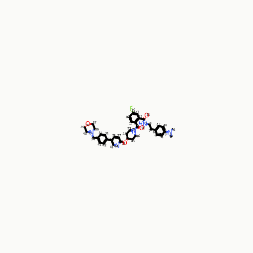 CN(C)c1ccc(CCNC(=O)c2cc(F)ccc2C(=O)N2CCC(Oc3ccc(-c4ccc(CN5CCOCC5)cc4)cn3)CC2)cc1